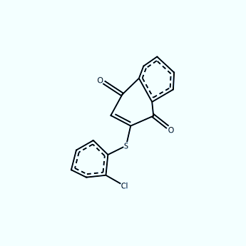 O=C1C=C(Sc2ccccc2Cl)C(=O)c2ccccc21